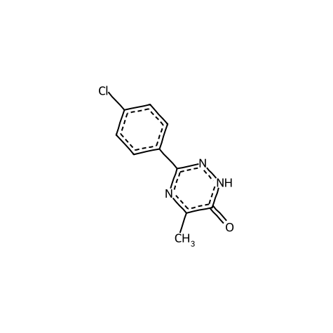 Cc1nc(-c2ccc(Cl)cc2)n[nH]c1=O